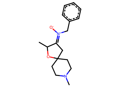 CC1OC2(CCN(C)CC2)C/C1=[N+](/[O-])Cc1ccccc1